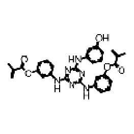 C=C(C)C(=O)Oc1cccc(Nc2nc(Nc3cccc(O)c3)nc(Nc3cccc(OC(=O)C(=C)C)c3)n2)c1